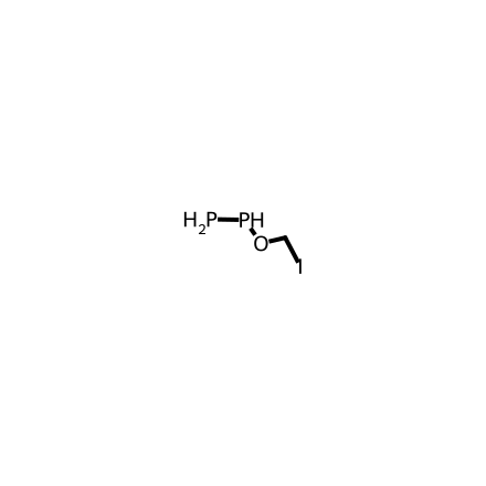 PPOCI